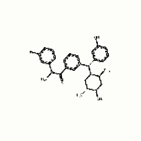 C[C@@H]1CN([C@@H](c2cccc(O)c2)c2cccc(C(=O)N(C)c3cccc(F)c3)c2)[C@@H](C)CN1C